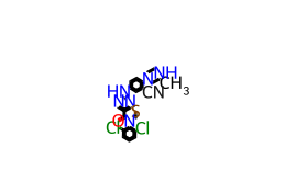 CC1CN(c2ccc(Nc3ncc4c(n3)SCN(c3c(Cl)cccc3Cl)C4=O)cc2C#N)CCN1